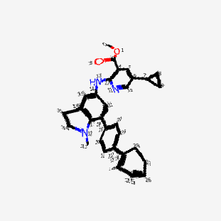 COC(=O)c1cc(C2CC2)cnc1Nc1cc2c(c(-c3ccc(-c4ccccc4)cc3)c1)N(C)CC2